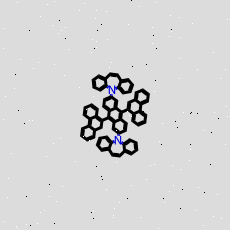 C1=CC2=c3ccccc3=C(c3c4cc(N5c6ccccc6C=Cc6ccccc65)ccc4c(-c4cc5ccccc5c5ccccc45)c4cc(N5c6ccccc6C=Cc6ccccc65)ccc34)CC2C=C1